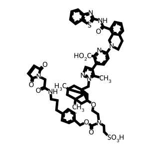 Cc1c(-c2ccc(N3CCc4cccc(C(=O)Nc5nc6ccccc6s5)c4C3)nc2C(=O)O)cnn1CC12CC3(C)CC(C)(C1)CC(OCCN(CCS(=O)(=O)O)C(=O)OCc1[c]cc(CCCNC(=O)CN4C(=O)C=CC4=O)cc1)(C3)C2